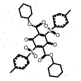 Cc1ccc(S(=O)(=O)C2=C(C(=O)OC3CCCCC3)C(=O)C(S(=O)(=O)c3ccc(C)cc3)=C(C(=O)OC3CCCCC3)C2=O)cc1